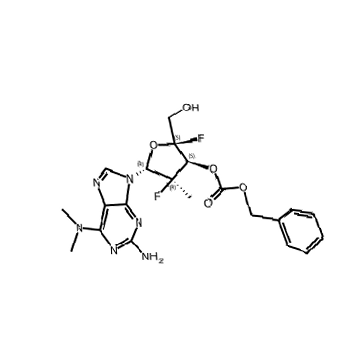 CN(C)c1nc(N)nc2c1ncn2[C@@H]1O[C@](F)(CO)[C@@H](OC(=O)OCc2ccccc2)[C@@]1(C)F